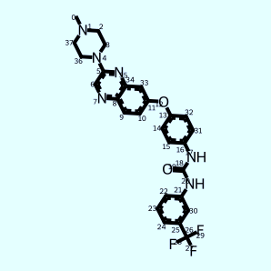 CN1CCN(c2cnc3ccc(Oc4ccc(NC(=O)Nc5cccc(C(F)(F)F)c5)cc4)cc3n2)CC1